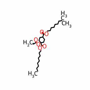 C=CC(=O)OC1(C(=O)OCCCCCCCCCC)CCC(C(=O)OCCCCCCCC(C)C)CC1